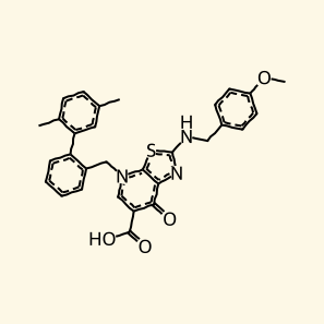 COc1ccc(CNc2nc3c(=O)c(C(=O)O)cn(Cc4ccccc4-c4cc(C)ccc4C)c3s2)cc1